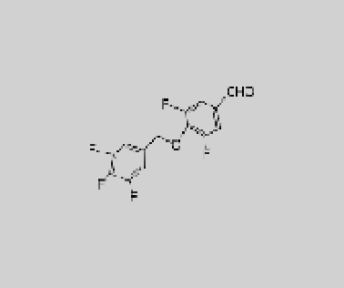 O=Cc1cc(F)c(OCc2cc(F)c(F)c(F)c2)c(F)c1